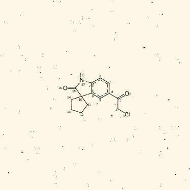 O=C(CCl)c1ccc2c(c1)C1(CCCC1)C(=O)N2